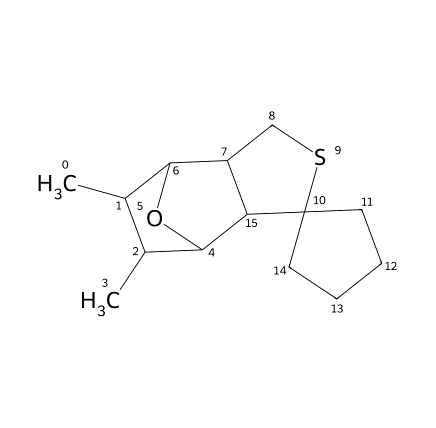 CC1C(C)C2OC1C1CSC3(CCCC3)C12